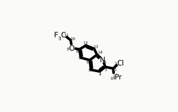 CC(C)C(Cl)c1ccc2cc(OCC(F)(F)F)ccc2n1